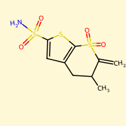 C=C1C(C)Cc2cc(S(N)(=O)=O)sc2S1(=O)=O